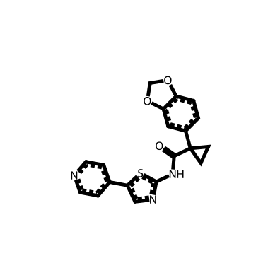 O=C(Nc1ncc(-c2ccncc2)s1)C1(c2ccc3c(c2)OCO3)CC1